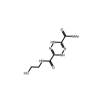 CNC(=O)C1=NNC(C(=O)NCCO)=NN1